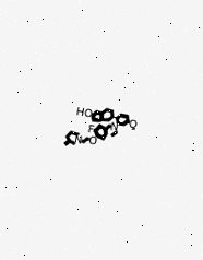 C=C1CCCN(CCOc2ccc(CN(CC)C3C=C(OC)C=CC3[C@@H]3CCc4cc(O)ccc4C3)cc2F)C1